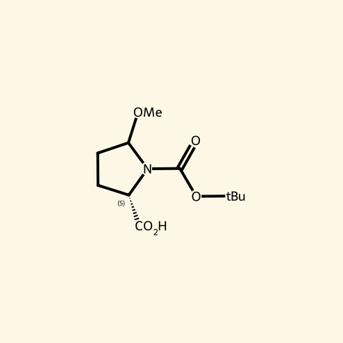 COC1CC[C@@H](C(=O)O)N1C(=O)OC(C)(C)C